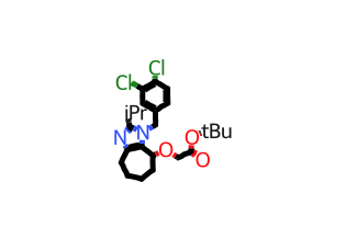 CC(C)c1nc2c(n1Cc1ccc(Cl)c(Cl)c1)C(OCC(=O)OC(C)(C)C)CCCC2